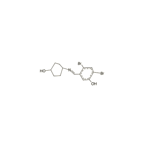 Oc1cc(C=NC2CCC(O)CC2)c(Br)cc1Br